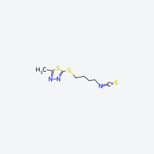 Cc1nnc(SCCCCN=C=S)s1